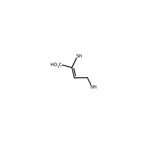 CCCC/C=C(\S)C(=O)O